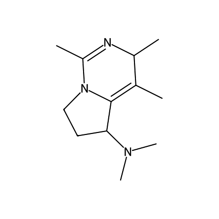 CC1=NC(C)C(C)=C2C(N(C)C)CCN12